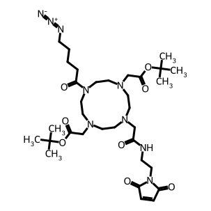 CC(C)(C)OC(=O)CN1CCN(CC(=O)NCCN2C(=O)C=CC2=O)CCN(CC(=O)OC(C)(C)C)CCN(C(=O)CCCCN=[N+]=[N-])CC1